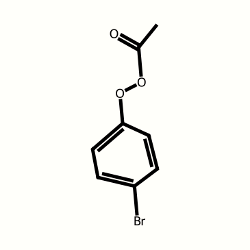 CC(=O)OOc1ccc(Br)cc1